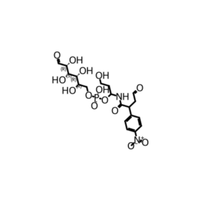 O=CCC(C(=O)NC(CCO)OP(=O)(O)OC[C@@H](O)[C@@H](O)[C@H](O)[C@@H](O)C=O)c1ccc([N+](=O)[O-])cc1